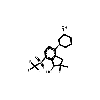 O=S(=O)(c1ccc([C@@H]2CCC[C@@H](O)C2)c2c1[C@H](O)C(F)(F)C2)C(F)(F)F